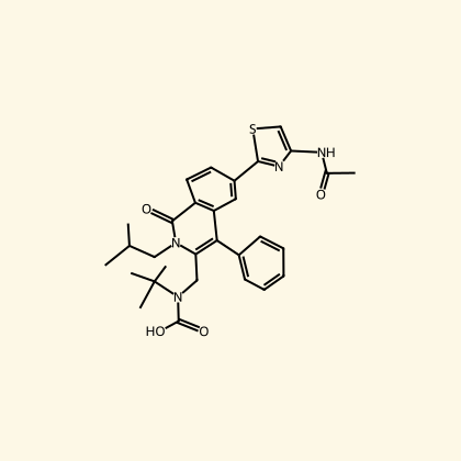 CC(=O)Nc1csc(-c2ccc3c(=O)n(CC(C)C)c(CN(C(=O)O)C(C)(C)C)c(-c4ccccc4)c3c2)n1